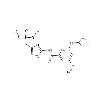 CCOP(=O)(Cc1csc(NC(=O)c2cc(OC(C)C)cc(OC3COC3)c2)n1)OCC